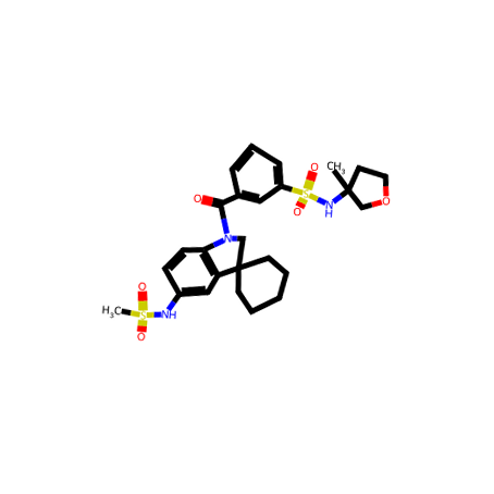 CC1(NS(=O)(=O)c2cccc(C(=O)N3CC4(CCCCC4)c4cc(NS(C)(=O)=O)ccc43)c2)CCOC1